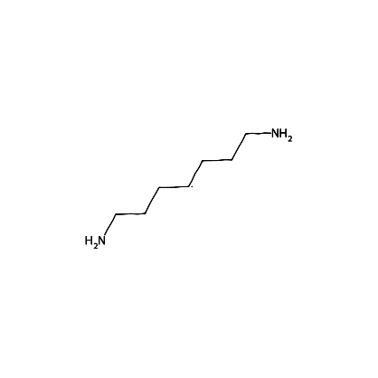 NCCC[CH]CCCN